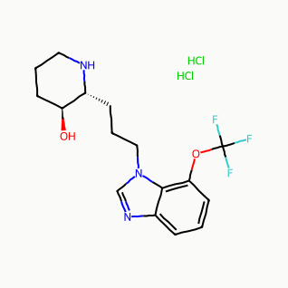 Cl.Cl.O[C@H]1CCCN[C@@H]1CCCn1cnc2cccc(OC(F)(F)F)c21